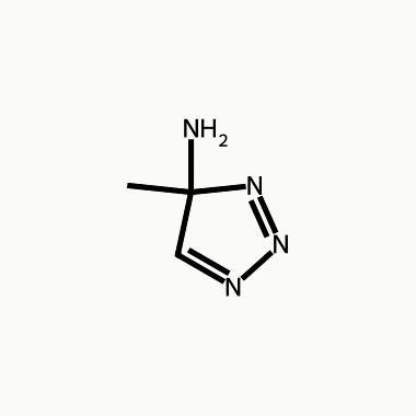 CC1(N)C=NN=N1